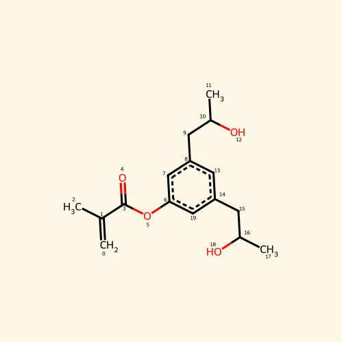 C=C(C)C(=O)Oc1cc(CC(C)O)cc(CC(C)O)c1